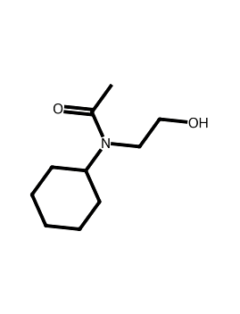 CC(=O)N(CCO)C1CCCCC1